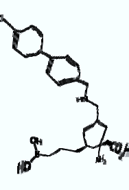 N[C@@]1(C(=O)O)CC(CNCc2ccc(-c3ccc(Cl)cc3)cc2)C[C@@H]1CCCB(O)O